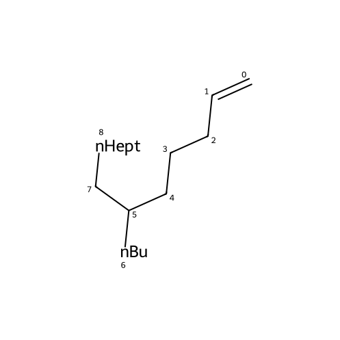 C=CCCCC(CCCC)CCCCCCCC